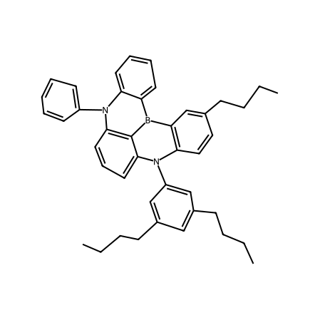 CCCCc1cc(CCCC)cc(N2c3ccc(CCCC)cc3B3c4ccccc4N(c4ccccc4)c4cccc2c43)c1